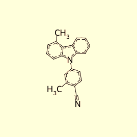 Cc1cc(-n2c3ccccc3c3c(C)cccc32)ccc1C#N